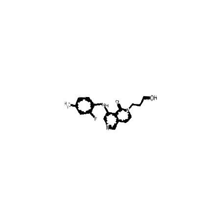 Cc1ccc(Nc2cncc3ccn(CCCO)c(=O)c23)c(F)c1